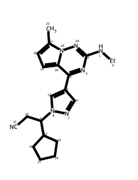 CCNc1nc(-c2cnn(C(CC#N)C3CCCC3)c2)c2ccc(C)n2n1